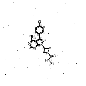 CCNC(=O)N1CC(n2nc(-c3ccc(Cl)cc3)c3c(N)ncnc32)C1